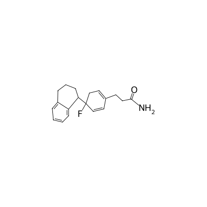 NC(=O)CCC1=CCC(F)(C2CCCc3ccccc32)C=C1